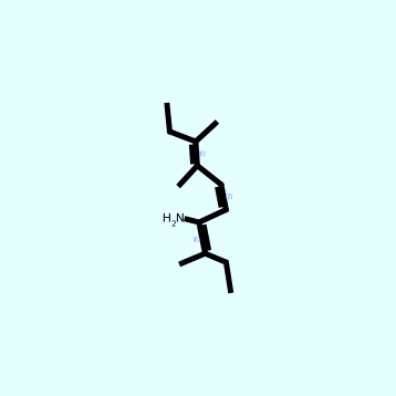 CC/C(C)=C(C)/C=C\C(N)=C(\C)CC